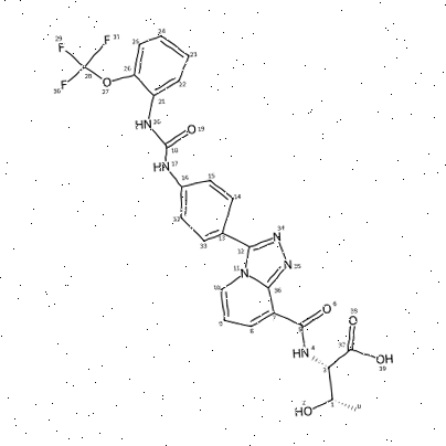 C[C@H](O)[C@H](NC(=O)c1cccn2c(-c3ccc(NC(=O)Nc4ccccc4OC(F)(F)F)cc3)nnc12)C(=O)O